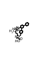 CCCCc1ncc(C(=O)O)n1Cc1ccc(-c2cc(-c3ccccc3)ccc2-c2nn[nH]n2)cc1